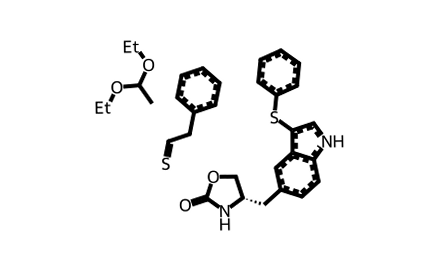 CCOC(C)OCC.O=C1N[C@@H](Cc2ccc3[nH]cc(Sc4ccccc4)c3c2)CO1.S=CCc1ccccc1